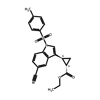 CCOC(=O)[C@H]1C[C@@H]1c1cn(S(=O)(=O)c2ccc(C)cc2)c2ccc(C#N)cc12